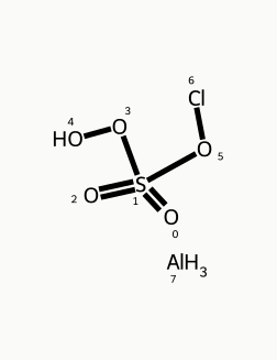 O=S(=O)(OO)OCl.[AlH3]